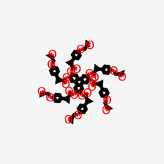 O=C(Oc1cc2c3cc(OC(=O)C4CC4c4ccc(OCC5CO5)cc4)c(OC(=O)C4CC4c4ccc(OCC5CO5)cc4)cc3c3cc(OC(=O)C4CC4c4ccc(OCC5CO5)cc4)c(OC(=O)C4CC4c4ccc(OCC5CO5)cc4)cc3c2cc1OC(=O)C1CC1c1ccc(OCC2CO2)cc1)C1CC1c1ccc(OCC2CO2)cc1